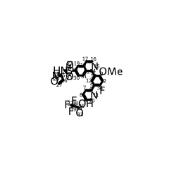 COc1cc(F)c(-c2ccccn2)cc1-c1nccc2cc(S(=O)(=O)Nc3ccon3)ccc12.O=C(O)C(F)(F)F